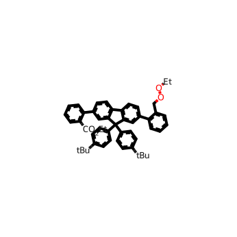 CCOOCc1ccccc1-c1ccc2c(c1)C(c1ccc(C(C)(C)C)cc1)(c1ccc(C(C)(C)C)cc1)c1cc(-c3ccccc3C(=O)OCC)ccc1-2